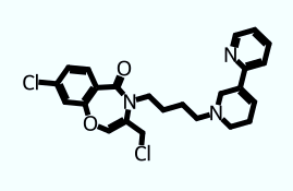 O=C1c2ccc(Cl)cc2OC=C(CCl)N1CCCCN1CCC=C(c2ccccn2)C1